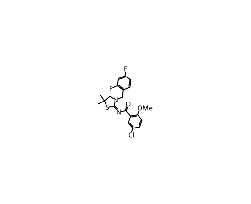 COc1ccc(Cl)cc1C(=O)N=C1SC(C)(C)CN1Cc1ccc(F)cc1F